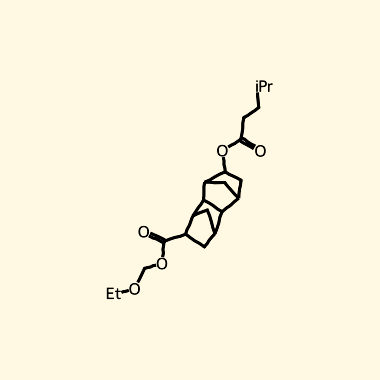 CCOCOC(=O)C1CC2CC1C1C3CC(CC3OC(=O)CCC(C)C)C21